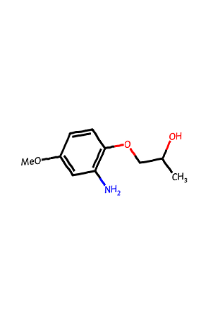 COc1ccc(OCC(C)O)c(N)c1